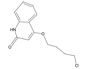 O=c1cc(OCCCCCl)c2ccccc2[nH]1